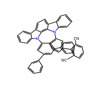 N#Cc1cccc(C#N)c1-c1cccc(-n2c3ccccc3c3ccc4c5ccccc5n(-c5cc(-c6ccccc6)cc(-c6ccccc6)c5)c4c32)c1